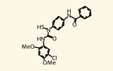 COc1cc(OC)c(NC(=O)N(S)c2ccc(NC(=O)c3ccccc3)cc2)cc1Cl